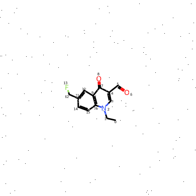 CCn1cc(C=O)c(=O)c2cc(CF)ccc21